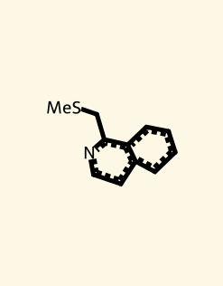 CSCc1nccc2ccccc12